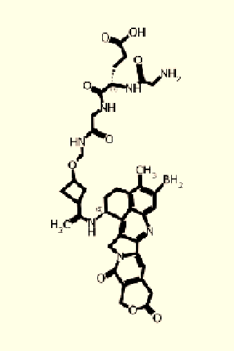 Bc1cc2nc3c(c4c2c(c1C)CC[C@@H]4NC(=C)C1CC(OCNC(=O)CNC(=O)[C@H](CCC(=O)O)NC(=O)CN)C1)Cn1c-3cc2c(c1=O)COC(=O)C2